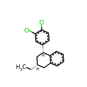 CC[C@H]1Cc2ccccc2[C@@H](c2ccc(Cl)c(Cl)c2)C1